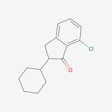 O=C1c2c(Cl)cccc2CC1C1CCCCC1